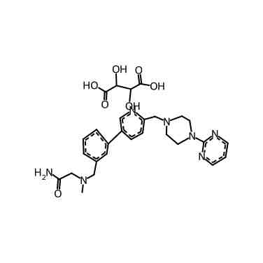 CN(CC(N)=O)Cc1cccc(-c2ccc(CN3CCN(c4ncccn4)CC3)nc2)c1.O=C(O)C(O)C(O)C(=O)O